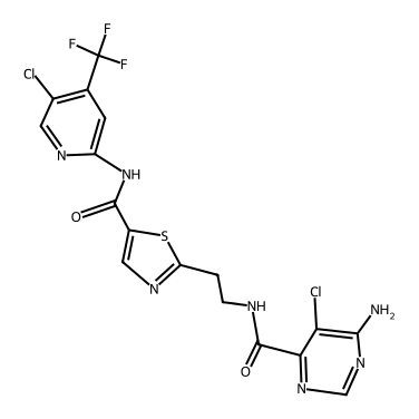 Nc1ncnc(C(=O)NCCc2ncc(C(=O)Nc3cc(C(F)(F)F)c(Cl)cn3)s2)c1Cl